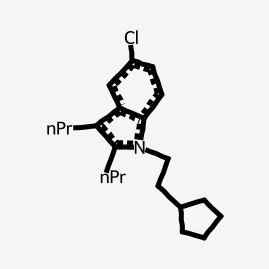 CCCc1c(CCC)n(CCC2CCCC2)c2ccc(Cl)cc12